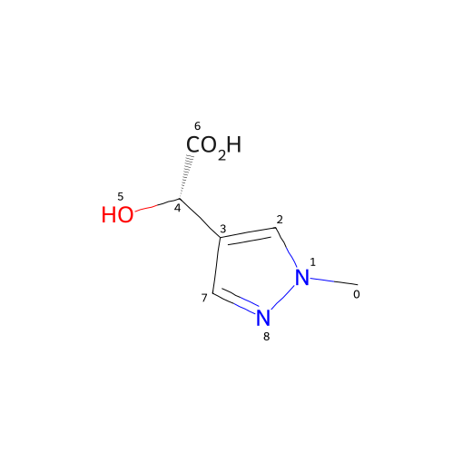 Cn1cc([C@H](O)C(=O)O)cn1